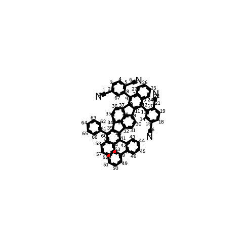 N#Cc1ccc(C#N)c(-c2c3c(c(-c4cc(C#N)ccc4C#N)c4ccccc24)-c2ccc4c5c(ccc-3c25)-c2c-4c(-c3ccccc3-c3ccccc3)c3ccccc3c2-c2ccccc2)c1